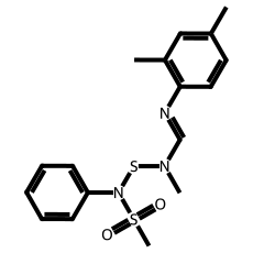 Cc1ccc(N=CN(C)SN(c2ccccc2)S(C)(=O)=O)c(C)c1